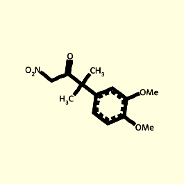 COc1ccc(C(C)(C)C(=O)C[N+](=O)[O-])cc1OC